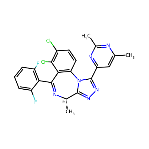 Cc1cc(-c2nnc3n2-c2ccc(Cl)c(Cl)c2C(c2c(F)cccc2F)=N[C@H]3C)nc(C)n1